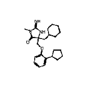 CN1C(=N)NC(COc2ccccc2C2CCCC2)(CC2CCCCC2)C1=O